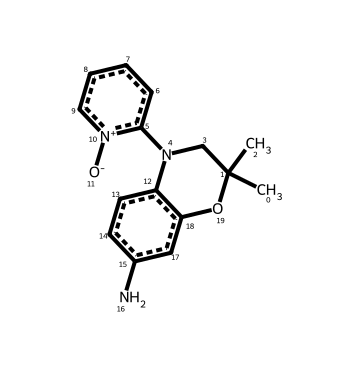 CC1(C)CN(c2cccc[n+]2[O-])c2ccc(N)cc2O1